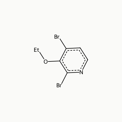 CCOc1c(Br)ccnc1Br